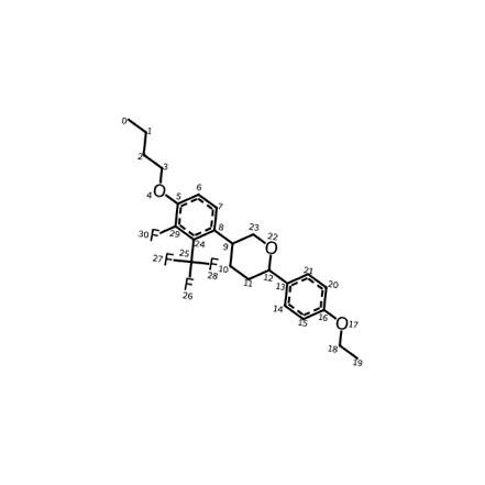 CCCCOc1ccc(C2CCC(c3ccc(OCC)cc3)OC2)c(C(F)(F)F)c1F